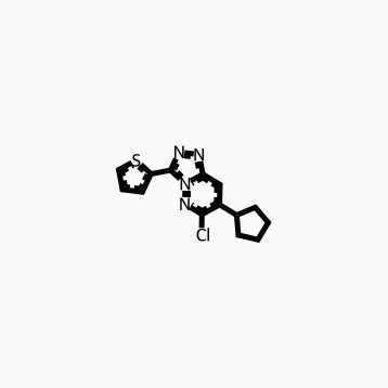 Clc1nn2c(-c3cccs3)nnc2cc1C1CCCC1